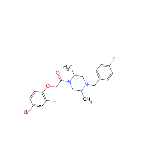 CC1CN(C(=O)COc2ccc(Br)cc2F)C(C)CN1Cc1ccc(F)cc1